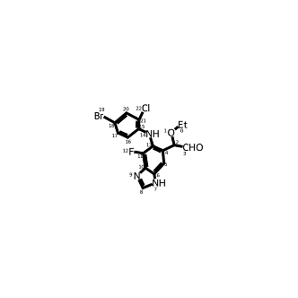 CCOC(C=O)c1cc2[nH]cnc2c(F)c1Nc1ccc(Br)cc1Cl